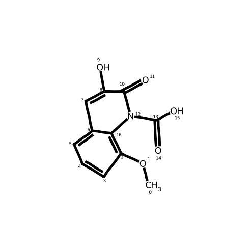 COc1cccc2cc(O)c(=O)n(C(=O)O)c12